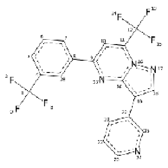 FC(F)(F)c1cccc(-c2cc(C(F)(F)F)n3ncc(-c4cccnc4)c3n2)c1